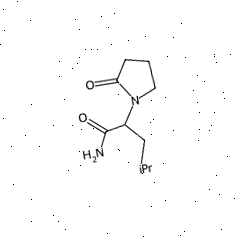 CC(C)CC(C(N)=O)N1CCCC1=O